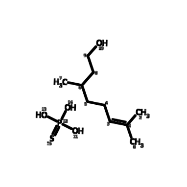 CC(C)=CCCC(C)CCO.OP(O)(O)=S